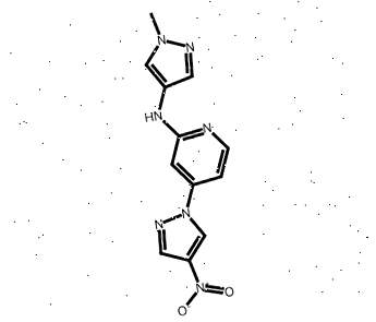 Cn1cc(Nc2cc(-n3cc([N+](=O)[O-])cn3)ccn2)cn1